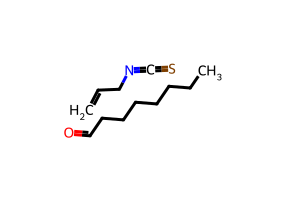 C=CCN=C=S.CCCCCCCC=O